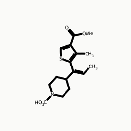 CC=C(c1scc(C(=O)OC)c1C)C1CCN(C(=O)O)CC1